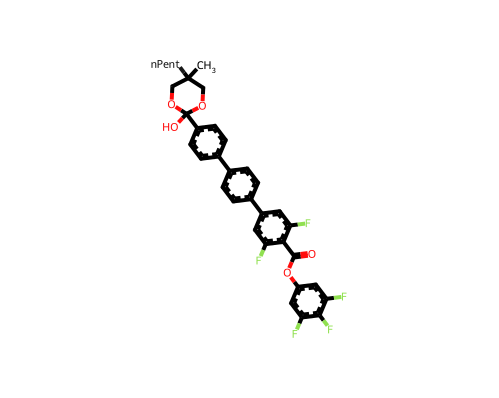 CCCCCC1(C)COC(O)(c2ccc(-c3ccc(-c4cc(F)c(C(=O)Oc5cc(F)c(F)c(F)c5)c(F)c4)cc3)cc2)OC1